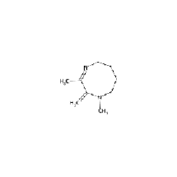 C=C1/C(C)=N\CCCCN1C